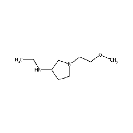 CCNC1CCN(CCOC)C1